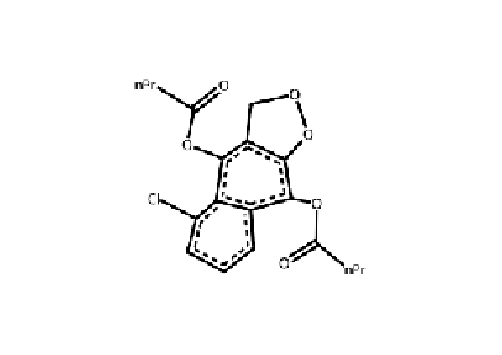 CCCC(=O)Oc1c2c(c(OC(=O)CCC)c3c(Cl)cccc13)COO2